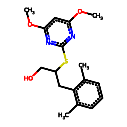 COc1cc(OC)nc(SC(CO)Cc2c(C)cccc2C)n1